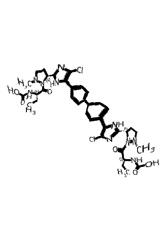 CC[C@H](NC(=O)O)C(=O)N1[C@H](c2nc(Cl)c(-c3ccc(-c4ccc(-c5[nH]c([C@@H]6CCN(C)N6C(=O)[C@H](CC)NC(=O)O)nc5Cl)cc4)cc3)[nH]2)CCN1C